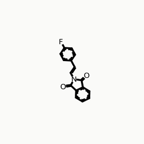 O=C1c2ccccc2C(=O)N1/C=C/c1ccc(F)cc1